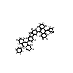 C1=CC2C(c3ccccc3)=c3ccccc3=C(c3ccc4c(c3)sc3ccc(-c5c6ccccc6c(-c6ccsc6)c6ccccc56)cc34)C2C=C1